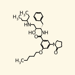 CCCCCOc1cc(C(=O)N[C@@H](Cc2ccccc2)[C@@H](O)CNC(CC)CC)cc(N2CCCC2=O)c1